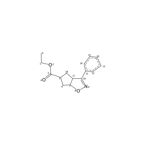 CCOC(=O)C1CC2ON=C(c3ccccc3)C2C1